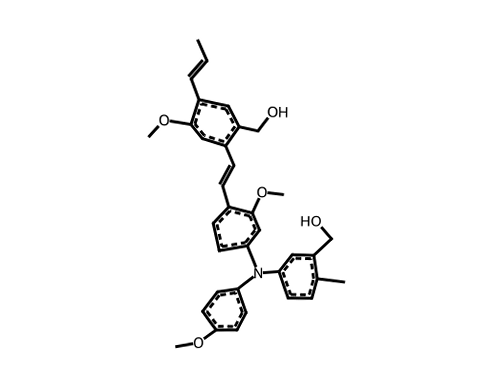 CC=Cc1cc(CO)c(C=Cc2ccc(N(c3ccc(OC)cc3)c3ccc(C)c(CO)c3)cc2OC)cc1OC